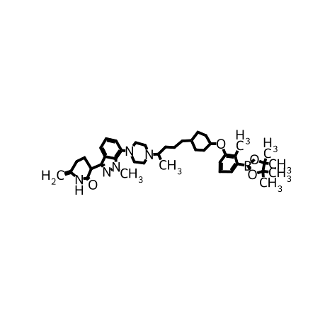 C=C1CCC(c2nn(C)c3c(N4CCN(C(C)CCCC5CCC(Oc6cccc(B7OC(C)(C)C(C)(C)O7)c6C)CC5)CC4)cccc23)C(=O)N1